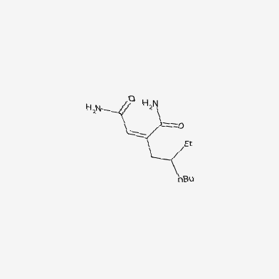 CCCCC(CC)CC(=CC(N)=O)C(N)=O